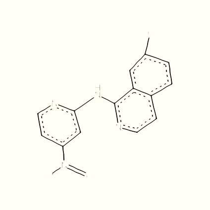 O=[N+]([O-])c1ccnc(Nc2nccc3ccc(Cl)cc23)c1